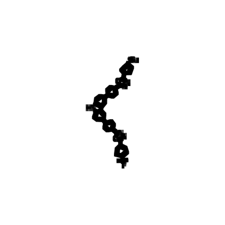 CC(C)(C)c1ccc(-c2nnc(-c3ccc(-c4ccc5[nH]c6ccc(-c7ccc(-c8nnc(-c9ccc(C(C)(C)F)cc9)o8)cc7)cc6c5c4)cc3)o2)cc1